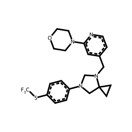 FC(F)(F)Sc1ccc(N2CN(Cc3ccnc(N4CCOCC4)c3)C3(CC3)C2)cc1